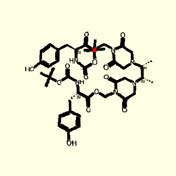 C[C@H]([C@H](C)N1CC(=O)N(COC(=O)[C@H](Cc2ccc(O)cc2)NC(=O)OC(C)(C)C)C(=O)C1)N1CC(=O)N(COC(=O)[C@H](Cc2ccc(O)cc2)NC(=O)OC(C)(C)C)C(=O)C1